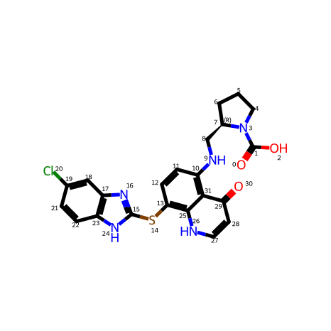 O=C(O)N1CCC[C@@H]1CNc1ccc(Sc2nc3cc(Cl)ccc3[nH]2)c2[nH]ccc(=O)c12